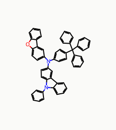 c1ccc(-n2c3ccccc3c3cc(N(c4ccc(C(c5ccccc5)(c5ccccc5)c5ccccc5)cc4)c4ccc5oc6ccccc6c5c4)ccc32)cc1